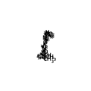 CC(C)(C)OC(=O)C1(CCCC(=O)N2CCC(COc3ccc(-c4ccnn4C4CCCCO4)nc3)CC2)CCCC1